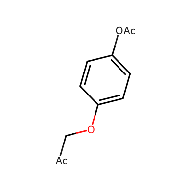 CC(=O)COc1ccc(OC(C)=O)cc1